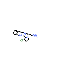 NCCCCN(Cc1ncccc1Cl)CC1Cc2ccccc2CN1